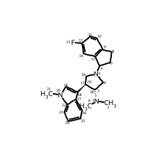 CN(C)[C@H]1CN(C2CCc3ccc(F)cc32)C[C@@H]1c1cn(C)c2ccccc12